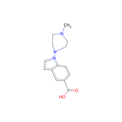 CN1CCN(n2ccc3cc(C(=O)O)ccc32)CC1